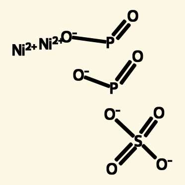 O=P[O-].O=P[O-].O=S(=O)([O-])[O-].[Ni+2].[Ni+2]